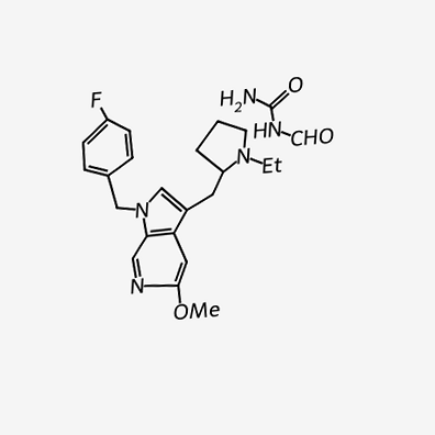 CCN1CCCC1Cc1cn(Cc2ccc(F)cc2)c2cnc(OC)cc12.NC(=O)NC=O